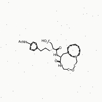 CC(=O)Nc1ccc(CCC[C@H](CC(=O)O)C(=O)NC2Cc3ccccccn(c3)CCOCCNC2=O)cc1